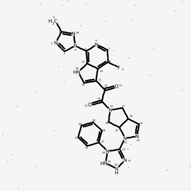 Cc1ncn(-c2ncc(F)c3c(C(=O)C(=O)N4CC5C=NN(C6=NNNN6c6ccccc6)C5C4)c[nH]c23)n1